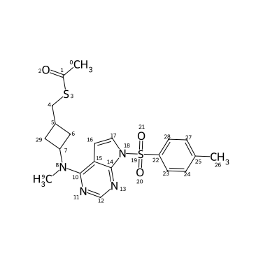 CC(=O)SCC1CC(N(C)c2ncnc3c2ccn3S(=O)(=O)c2ccc(C)cc2)C1